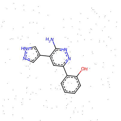 Nc1nnc(-c2ccccc2O)cc1-c1cn[nH]c1